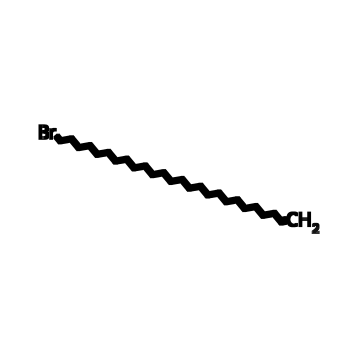 C=CCCCCCCCCCCCCCCCCCCCCCCCCBr